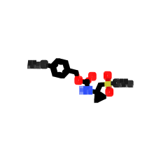 COc1ccc(COC(=O)NC2(CS(=O)(=O)OC)CC2)cc1